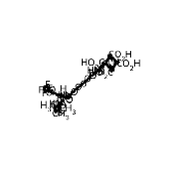 Cc1cc(C)c(NC(=O)CC[C@H](NC(=O)CCCCC(=O)Oc2c(F)c(F)cc(F)c2F)C(=O)NCCOCCOCCOCCOCCOCCNC(=O)CCC(C(=O)O)N2CCN(CC(=O)O)CCN(CC(=O)O)CCN(CC(=O)O)CC2)c(C)c1Br